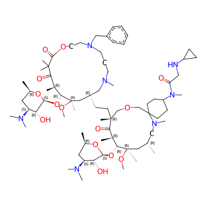 CO[C@]1(C)C[C@@H](CC[C@]2(C)COCC3(CCC(N(C)C(=O)CNC4CC4)CC3)N(C)C[C@H](C)C[C@@](C)(OC)[C@H](O[C@@H]3O[C@H](C)C[C@H](N(C)C)[C@H]3O)[C@@H](C)C2=O)CN(C)CCCN(Cc2ccccc2)CCOC(=O)C(C)(C)C(=O)[C@H](C)[C@H]1O[C@@H]1O[C@H](C)C[C@H](N(C)C)[C@H]1O